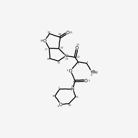 CC(C)(C)CC(OC(=O)N1CCOCC1)C(=O)N1CCC2OCC(=O)C21